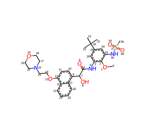 COc1c(NC(=O)C(O)c2ccc(OCCN3CCOCC3)c3ccccc23)cc(C(C)(C)C)cc1NS(C)(=O)=O